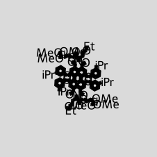 CCOCCC(C(=O)OCC[Si](OC)(OC)OC)N1C(=O)c2cc(Oc3cccc(C(C)C)c3)c3c4c(Oc5cccc(C(C)C)c5)cc5c6c(cc(Oc7cccc(C(C)C)c7)c(c7c(Oc8cccc(C(C)C)c8)cc(c2c37)C1=O)c64)C(=O)N(C(CCOCC)C(=O)OCC[Si](OC)(OC)OC)C5=O